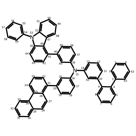 c1ccc(-c2ccccc2-c2cccc(N(c3cccc(-c4cccc5c4ccc4ccccc45)c3)c3cccc(-c4cccc5c4c4ccccc4n5-c4ccccc4)c3)c2)cc1